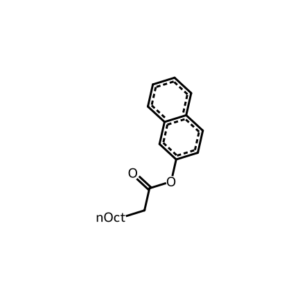 CCCCCCCCCC(=O)Oc1ccc2ccccc2c1